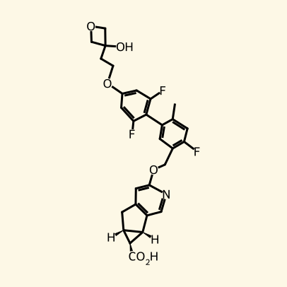 Cc1cc(F)c(COc2cc3c(cn2)[C@H]2[C@@H](C3)[C@@H]2C(=O)O)cc1-c1c(F)cc(OCCC2(O)COC2)cc1F